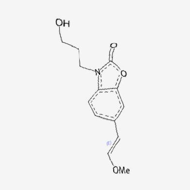 CO/C=C/c1ccc2c(c1)oc(=O)n2CCCO